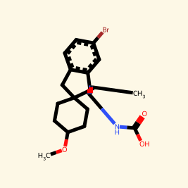 COC1CCC2(CC1)Cc1ccc(Br)cc1C21N=C(C)C(NC(=O)O)=N1